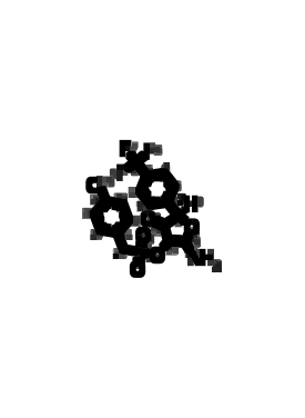 [2H][C@]1(c2ccc(C(F)(F)F)cc2)OC(N)=C(OS(=O)(=O)Cc2ccc(Cl)cc2)C1=O